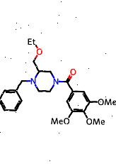 CCOCC1CN(C(=O)c2cc(OC)c(OC)c(OC)c2)CCN1Cc1ccccc1